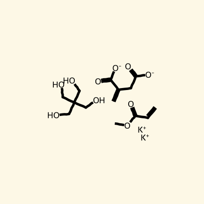 C=C(CC(=O)[O-])C(=O)[O-].C=CC(=O)OC.OCC(CO)(CO)CO.[K+].[K+]